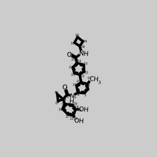 Cc1ccc(NC(=O)C2(c3ccc(O)c(O)c3)CC2)cc1-c1ccc(C(=O)NC2CCC2)cc1